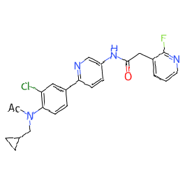 CC(=O)N(CC1CC1)c1ccc(-c2ccc(NC(=O)Cc3cccnc3F)cn2)cc1Cl